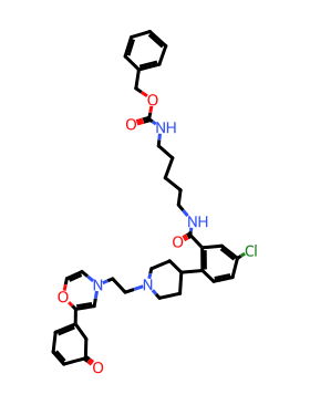 O=C1C=CC=C(C2=CN(CCN3CCC(c4ccc(Cl)cc4C(=O)NCCCCCNC(=O)OCc4ccccc4)CC3)C=CO2)C1